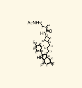 CC(=O)NCCC(C)C(=O)NC1CC(CCCc2c(-c3ccc(F)cc3)[nH]c3c(F)cc(F)cc23)C1